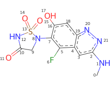 CNc1cc2c(F)c(N3CC(=O)NS3(=O)=O)c(O)cc2nn1